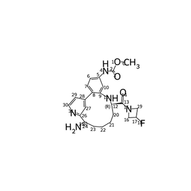 COC(=O)Nc1ccc2c(c1)N[C@@H](C(=O)N1CC(F)C1)CCCC[C@H](N)c1cc-2ccn1